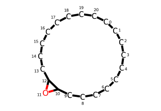 C1CCCCCCCCCC2OC2CCCCCCCC1